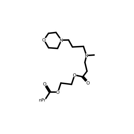 CCCC(=O)OCCOC(=O)CCN(C)CCCN1CCOCC1